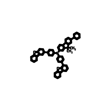 CC1(C)c2cc(-c3ccccc3)ccc2-c2ccc(N(c3ccc(-c4ccc5oc6ccccc6c5c4)cc3)c3ccc(-c4cccc5c4oc4ccccc45)cc3)cc21